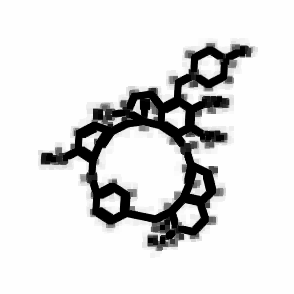 COc1ccc2cc1Oc1ccc(cc1)C[C@H]1c3cc(ccc3CCN1C)Oc1c(OC)c(OC)c(CN3CCN(C(C)C)CC3)c3c1[C@H](C2)N(C)CC3